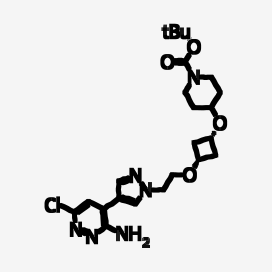 CC(C)(C)OC(=O)N1CCC(O[C@H]2C[C@H](OCCn3cc(-c4cc(Cl)nnc4N)cn3)C2)CC1